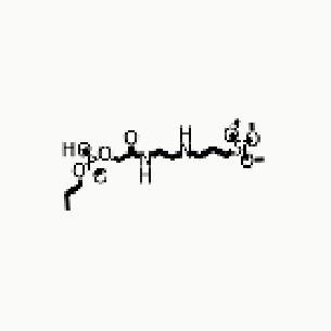 CCCOP(=O)(O)OCC(=O)NCCNCCC[Si](OC)(OC)OC